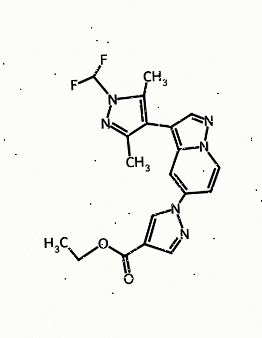 CCOC(=O)c1cnn(-c2ccn3ncc(-c4c(C)nn(C(F)F)c4C)c3c2)c1